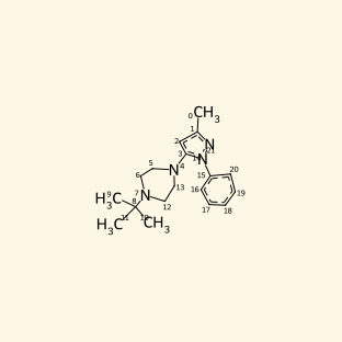 Cc1cc(N2CCN(C(C)(C)C)CC2)n(-c2ccccc2)n1